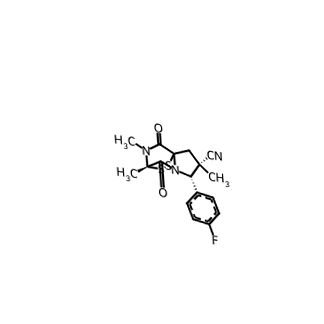 CN1C(=O)C23C[C@](C)(C#N)[C@H](c4ccc(F)cc4)N2C(=O)[C@]1(C)SS3